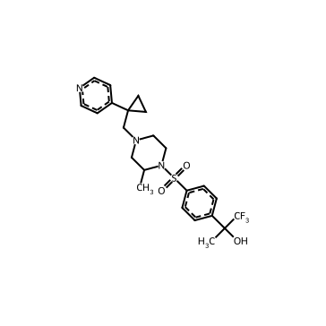 CC1CN(CC2(c3ccncc3)CC2)CCN1S(=O)(=O)c1ccc(C(C)(O)C(F)(F)F)cc1